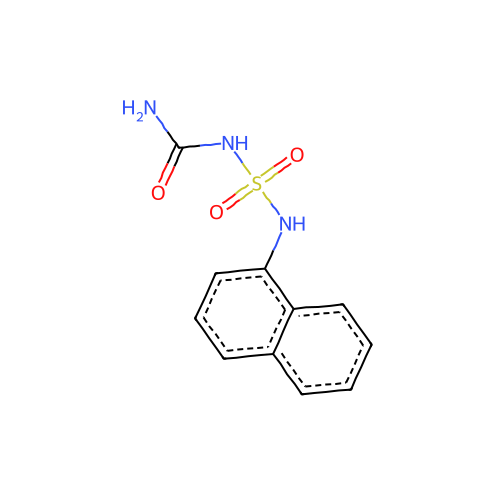 NC(=O)NS(=O)(=O)Nc1cccc2ccccc12